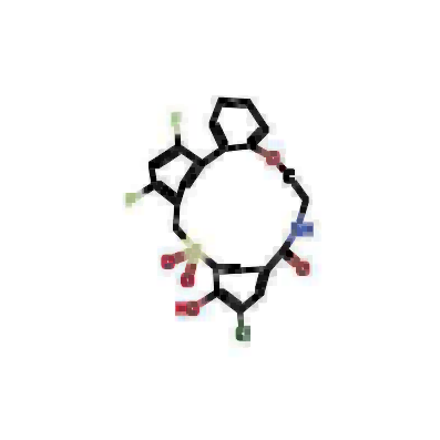 O=C1NCCOc2ccccc2-c2cc(c(F)cc2F)CS(=O)(=O)c2cc1cc(Cl)c2O